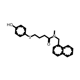 CN(Cc1cccc2ccccc12)C(=O)CCCSc1ccc(O)cc1